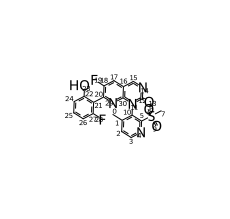 Cc1ccnc(S(C)(=O)=O)c1-n1c(=O)ncc2cc(F)c(-c3c(O)cccc3F)nc21